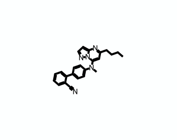 CCCCc1cc(N(C)c2ccc(-c3ccccc3C#N)cc2)n2nccc2n1